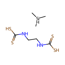 C[SiH](C)C.S=C(S)NCCNC(=S)S